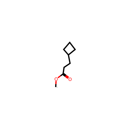 [CH2]OC(=O)CCC1CCC1